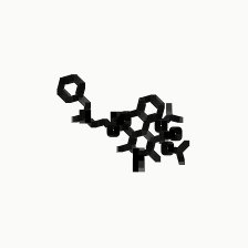 CC1=C(C(=O)OCCN(C)Cc2ccccc2)C(c2ccccc2C#N)C(P(=O)(OC(C)C)OC(C)C)=C(C)N1